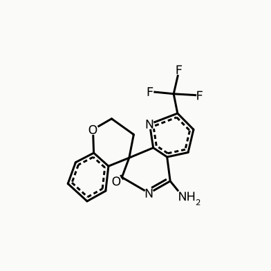 NC1=NC(=O)C2(CCOc3ccccc32)c2nc(C(F)(F)F)ccc21